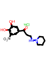 Cl.O=C(CCNN1CCCCC1)c1cc(O)c(O)c([N+](=O)[O-])c1